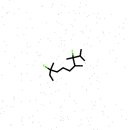 CCC(C)(F)CCCC(C)C(C)(F)C(C)C